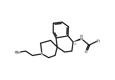 CCC(=O)N[C@H]1CCC2(CCN(CCC(C)(C)C)CC2)c2ccccc21